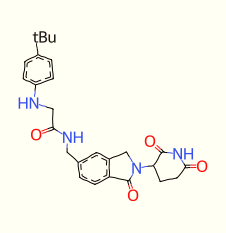 CC(C)(C)c1ccc(NCC(=O)NCc2ccc3c(c2)CN(C2CCC(=O)NC2=O)C3=O)cc1